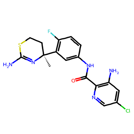 C[C@@]1(c2cc(NC(=O)c3ncc(Cl)cc3N)ccc2F)CCSC(N)=N1